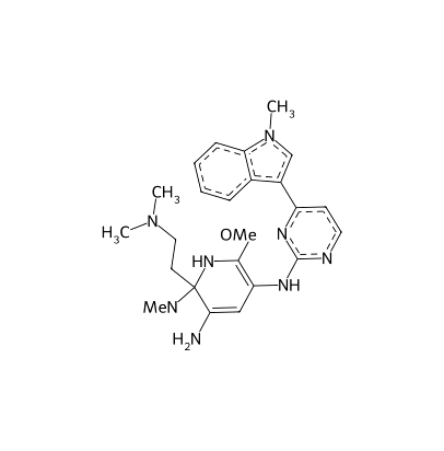 CNC1(CCN(C)C)NC(OC)=C(Nc2nccc(-c3cn(C)c4ccccc34)n2)C=C1N